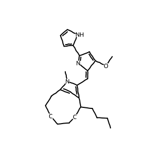 CCCCC1CCCCCCc2cc1c(C=C1N=C(c3ccc[nH]3)C=C1OC)n2C